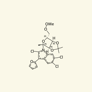 COOC[C@H]1O[C@@](C)(n2c(Cl)c(-c3ccco3)c3cc(Cl)c(Cl)cc32)[C@@H]2OC(C)(C)O[C@@H]21